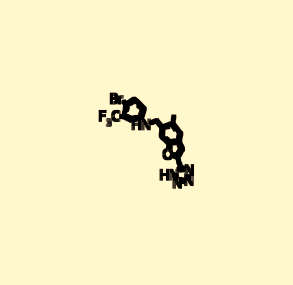 Cc1cc2cc(-c3nnn[nH]3)oc2cc1CNc1ccc(Br)c(C(F)(F)F)c1